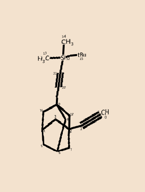 C#CC12CC3CC(C1)CC(C#C[Si](C)(C)C(C)(C)C)(C3)C2